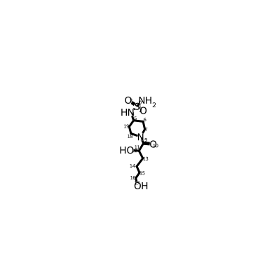 NS(=O)(=O)NC1CCN(C(=O)C(O)CCCCO)CC1